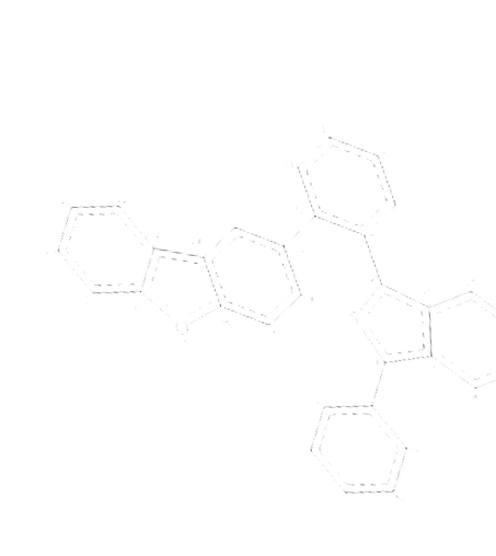 c1ccc(-c2sc(-c3ccccc3-c3ccc4oc5ccccc5c4c3)c3ccccc23)cc1